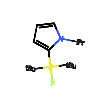 CC(C)n1cccc1S(F)(C(C)(C)C)C(C)(C)C